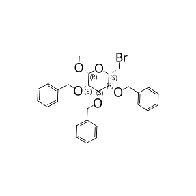 CO[C@@H]1O[C@H](CBr)[C@H](OCc2ccccc2)[C@H](OCc2ccccc2)[C@@H]1OCc1ccccc1